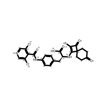 O=C1CCC2(CC1)C(=O)C(F)=C2N[C@@H](Cc1ccc(NC(=O)c2c(Cl)cncc2Cl)cc1)C(=O)O